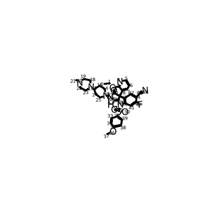 CCOc1ncccc1C1(C(=O)NN2CCC(N3CCN(C)CC3)CC2)C(=O)N(S(=O)(=O)c2ccc(OC)cc2)c2cc(F)c(C#N)cc21